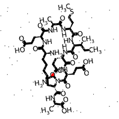 CC[C@H](C)[C@H](NC(=O)[C@H](CCSC)NC(=O)[C@H](C)NC(=O)[C@H](CCC(=O)O)NC(=O)[C@@H](N)CCCCN)C(=O)N[C@@H](CCC(=O)O)C(=O)N[C@@H](CCC(=O)O)C(=O)N1CCC[C@H]1C(=O)N[C@@H](C)C(=O)O